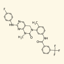 Cc1ccc(NC(=O)c2cccc(C(F)(F)F)c2)cc1N1Cc2cnc(Nc3ccc(F)cc3)nc2N(C)C1=O